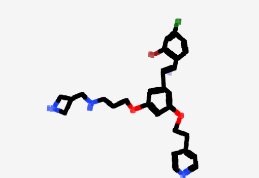 Clc1ccc(/C=C/c2cc(OCCCNCC3CNC3)cc(OCCc3ccncc3)c2)c(Br)c1